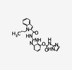 CCCn1c(C(=O)Nc2nc3cccc(OC(=O)Nc4ncc[nH]4)c3[nH]2)cc2ccccc21